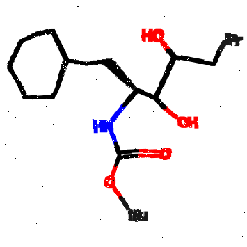 CC(C)CC(O)C(O)[C@H](CC1CCCCC1)NC(=O)OC(C)(C)C